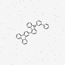 c1ccc(-c2cccc(-n3c4ccccc4c4c(-c5ccc6c7ccccc7c7ccccc7c6c5)cccc43)c2)cc1